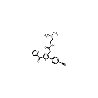 CN(C)CCNC(=O)Cc1cc(C(=O)c2ccco2)sc1-c1ccc(C#N)cc1